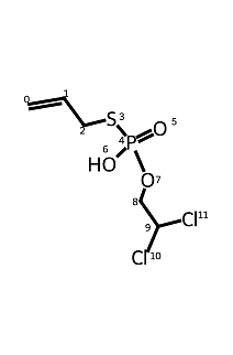 C=CCSP(=O)(O)OCC(Cl)Cl